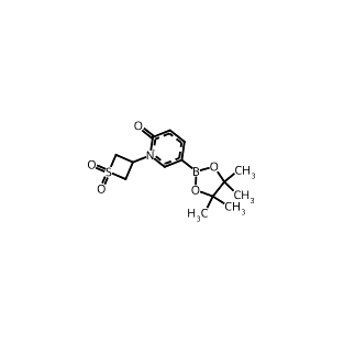 CC1(C)OB(c2ccc(=O)n(C3CS(=O)(=O)C3)c2)OC1(C)C